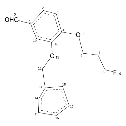 O=Cc1ccc(OCCCF)c(OCc2ccccc2)c1